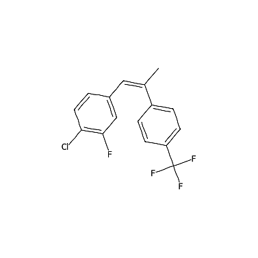 CC(=Cc1ccc(Cl)c(F)c1)c1ccc(C(F)(F)F)cc1